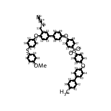 COc1ccc(Sc2ccc(Oc3ccc(-c4ccc(Oc5ccc(S(=O)(=O)c6ccc(Oc7ccc(-c8ccc(C)cc8)cc7)cc6)cc5)cc4)cc3CN=[N+]=[N-])cc2)cc1